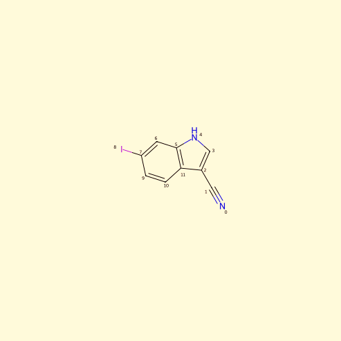 N#Cc1c[nH]c2cc(I)ccc12